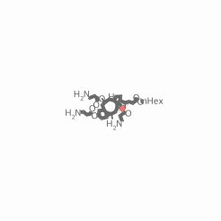 CCCCCCOC(=O)CC[C@@H](C)C1CC[C@H]2C[C@H](OC(=O)CCN)CC3C[C@H](OC(=O)CCN)CCC3(C)[C@H](C)C[C@H](OC(=O)CCN)C12C